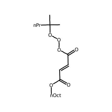 CCCCCCCCOC(=O)/C=C/C(=O)OOOC(C)(C)CCC